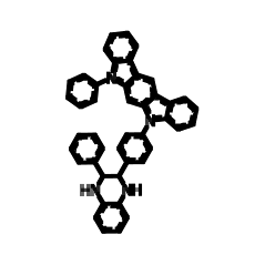 c1ccc(C2Nc3ccccc3NC2c2ccc(-n3c4ccccc4c4cc5c6ccccc6n(-c6ccccc6)c5cc43)cc2)cc1